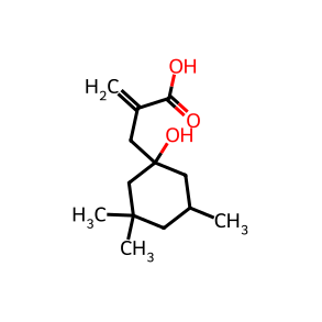 C=C(CC1(O)CC(C)CC(C)(C)C1)C(=O)O